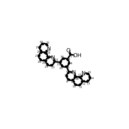 O=C(O)c1cc(-c2ccc3ccc4cccnc4c3n2)cc(-c2ccc3ccc4cccnc4c3n2)c1